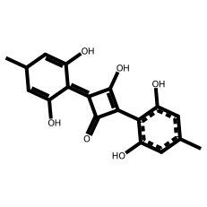 Cc1cc(O)c(C2=C(O)C(=C3C(O)=CC(C)C=C3O)C2=O)c(O)c1